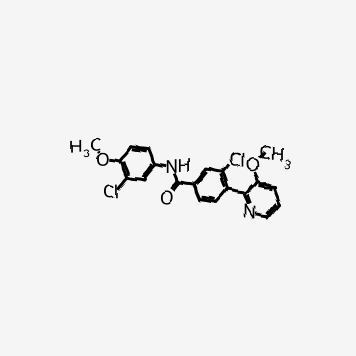 COc1ccc(NC(=O)c2ccc(-c3ncccc3OC)c(Cl)c2)cc1Cl